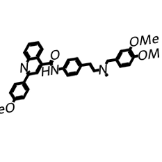 COc1ccc(-c2cc(C(=O)Nc3ccc(CCN(C)Cc4ccc(OC)c(OC)c4)cc3)c3ccccc3n2)cc1